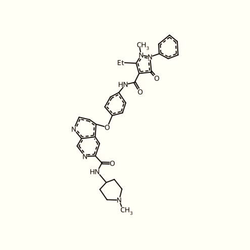 CCc1c(C(=O)Nc2ccc(Oc3ccnc4cnc(C(=O)NC5CCN(C)CC5)cc34)cc2)c(=O)n(-c2ccccc2)n1C